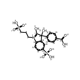 CC1=[N+](CCCS(=O)(=O)O)c2ccc(S(=O)(=O)O)cc2C1(C)c1ccc(C(=O)O)cc1